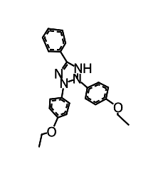 CCOc1ccc(N2N=C(c3ccccc3)NN2c2ccc(OCC)cc2)cc1